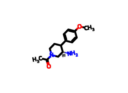 COc1ccc(C2CCN(C(C)=O)C[C@H]2N)cc1